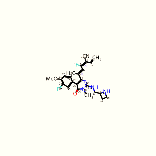 C=C/C(C#N)=C(F)\C=C(/C)c1nc(NCC2CCN2)n(C)c(=O)c1-c1ccc(OC)c(F)c1